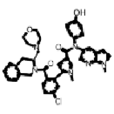 Cn1cc(C(=O)N(c2ccc(O)cc2)c2cnc3c(ccn3C)c2)cc1-c1cc(Cl)ccc1C(=O)N1Cc2ccccc2C[C@H]1CN1CCOCC1